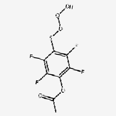 CC(=O)Oc1c(F)c(F)c(SOOO)c(F)c1F